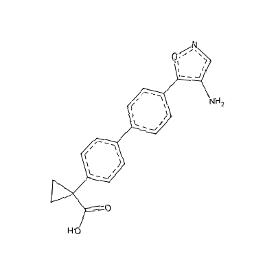 Nc1cnoc1-c1ccc(-c2ccc(C3(C(=O)O)CC3)cc2)cc1